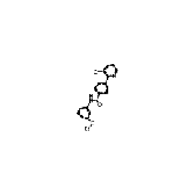 CCOc1cccc(NC(=O)c2ccc(-c3ncccc3Cl)cc2)c1